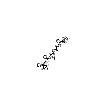 C=C(C(=O)OCCOCCNC(=O)OCC1(CC)COC1)C(C)(C)C